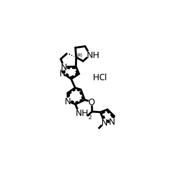 CC(Oc1cc(-c2cc3n(n2)CC[C@@]32CCNC2)cnc1N)c1ccnn1C.Cl